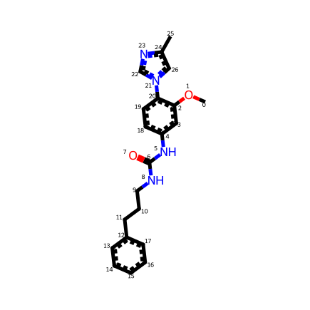 COc1cc(NC(=O)NCCCc2ccccc2)ccc1-n1cnc(C)c1